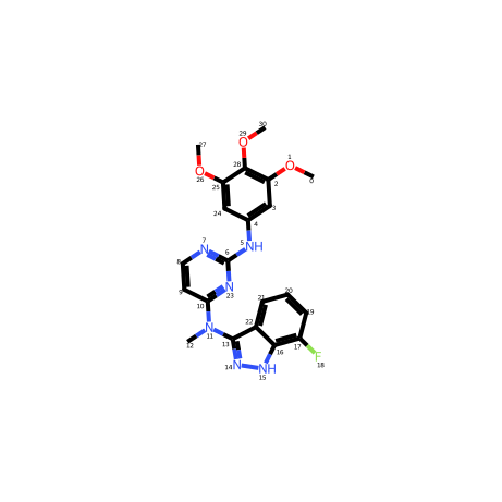 COc1cc(Nc2nccc(N(C)c3n[nH]c4c(F)cccc34)n2)cc(OC)c1OC